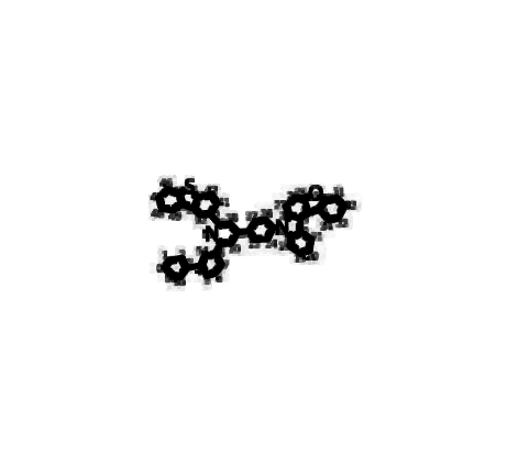 c1ccc(-c2cccc(-c3cc(-c4ccc(-n5c6ccccc6c6c7c(ccc65)oc5ccccc57)cc4)cc(-c4ccc5sc6ccccc6c5c4)n3)c2)cc1